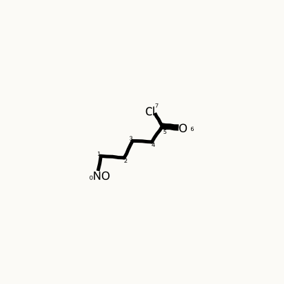 O=NCCCCC(=O)Cl